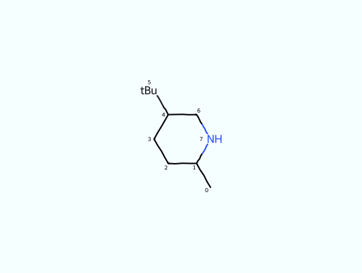 CC1CCC(C(C)(C)C)CN1